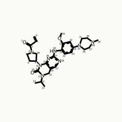 C=CC(=O)N1CC[C@H](N2C(=O)N(C(C)C)Cc3cnc(Nc4ccc(N5CCN(C)CC5)cc4OC)nc32)C1